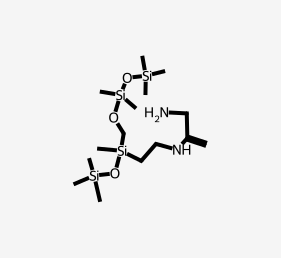 C=C(CN)NCC[Si](C)(CO[Si](C)(C)O[Si](C)(C)C)O[Si](C)(C)C